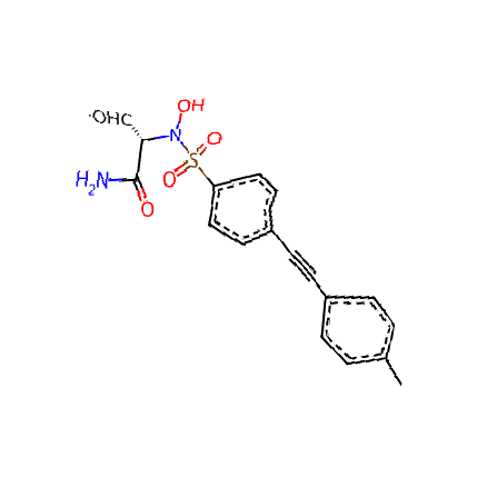 Cc1ccc(C#Cc2ccc(S(=O)(=O)N(O)[C@@H]([C]=O)C(N)=O)cc2)cc1